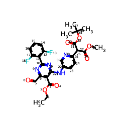 CCOC(=O)c1c(C=O)nc(-c2c(F)cccc2F)nc1Nc1ccc(C(C(=O)OC)C(=O)OC(C)(C)C)nc1